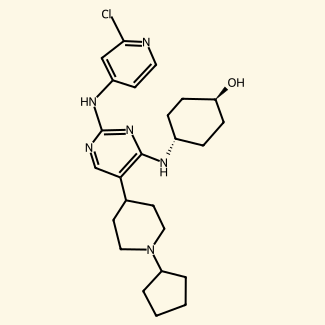 O[C@H]1CC[C@H](Nc2nc(Nc3ccnc(Cl)c3)ncc2C2CCN(C3CCCC3)CC2)CC1